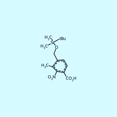 Cc1c(CO[Si](C)(C)C(C)(C)C)ccc(C(=O)O)c1[N+](=O)[O-]